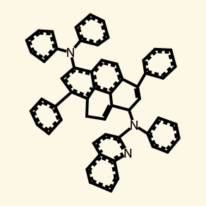 C1=C(c2ccccc2)c2ccc3c(N(c4ccccc4)c4ccccc4)cc(-c4ccccc4)c4c3c2C(=CC4)C1N(c1ccccc1)c1ccc2ccccc2n1